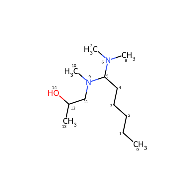 CCCCCC(N(C)C)N(C)CC(C)O